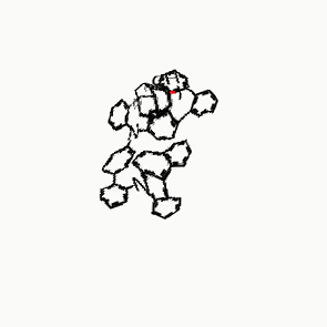 C[C@H]1C2CCC3C[C@@](c4ccccc4N(c4ccc(-c5ccccc5-c5ccccc5)cc4)c4ccc(-c5ccccc5-n5c6ccccc6c6c7ccccc7ccc65)cc4)(C2)C31